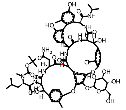 Cc1cc2ccc1Oc1cc3cc(c1O[C@@H]1O[C@H](CO)[C@@H](O)[C@H](O)[C@H]1O)Oc1ccc(cc1Cl)[C@@H](O)[C@@H]1NC(=O)[C@H](NC(=O)[C@@H]3NC(=O)[C@H](CC(N)=O)NC(=O)[C@H](NC(=O)[C@@H](CC(C)C)N(C)C(=O)OC(C)(C)C)[C@@H]2O)c2ccc(O)c(c2)-c2c(C)cc(O)cc2[C@@H](C(=O)NC(C)C)NC1=O